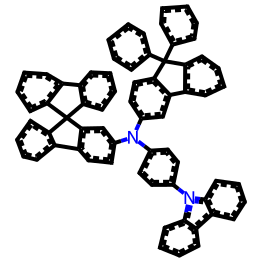 c1ccc(C2(c3ccccc3)c3ccccc3-c3cc(N(c4ccc(-n5c6ccccc6c6ccccc65)cc4)c4ccc5c(c4)C4(c6ccccc6-c6ccccc64)c4ccccc4-5)ccc32)cc1